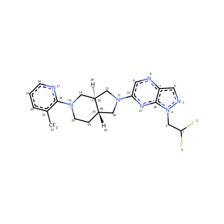 FC(F)Cn1ncc2ncc(N3C[C@@H]4CN(c5ncccc5C(F)(F)F)CC[C@H]4C3)nc21